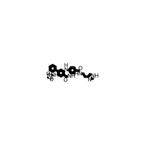 CS(=O)(=O)Nc1ccccc1-c1ccc2c(c1)Nc1ccc(C(=O)NCCc3c[nH]cn3)cc1NC2=O